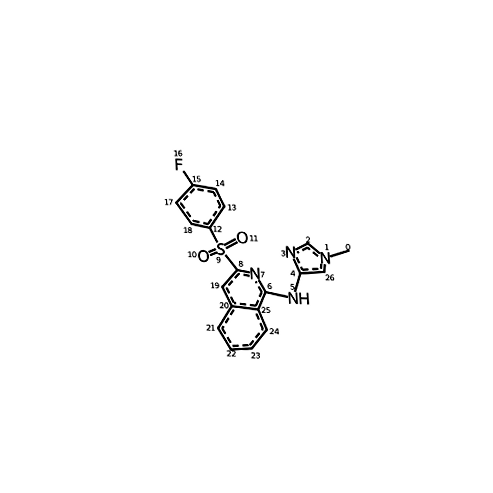 Cn1cnc(Nc2nc(S(=O)(=O)c3ccc(F)cc3)cc3ccccc23)c1